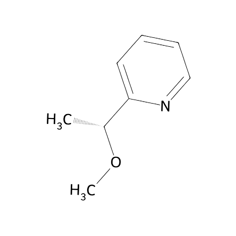 CO[C@H](C)c1ccccn1